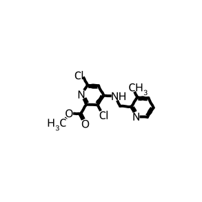 COC(=O)c1nc(Cl)cc(NCc2ncccc2C)c1Cl